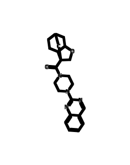 O=C(N1CCN(c2ncc3ccccc3n2)CC1)C12COC3CC(CCC31)C2